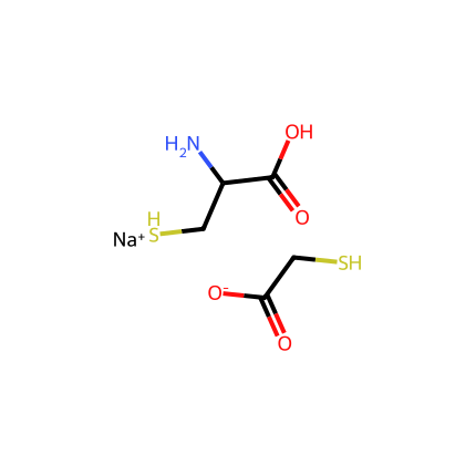 NC(CS)C(=O)O.O=C([O-])CS.[Na+]